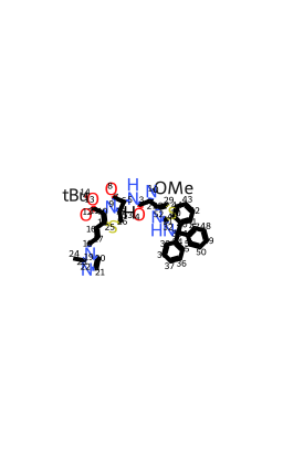 CON=C(C(=O)N[C@@H]1C(=O)N2C(C(=O)OC(C)(C)C)=C(/C=C/Cn3ccnc3C)SC[C@H]12)c1csc(NC(c2ccccc2)(c2ccccc2)c2ccccc2)n1